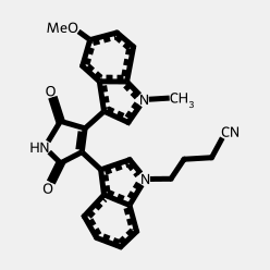 COc1ccc2c(c1)c(C1=C(c3cn(CCCC#N)c4ccccc34)C(=O)NC1=O)cn2C